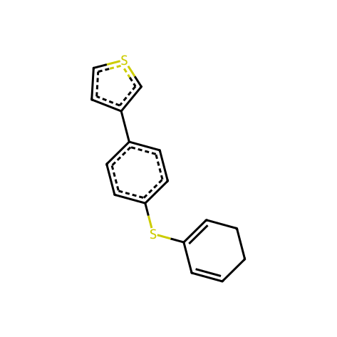 C1=CC(Sc2ccc(-c3ccsc3)cc2)=CCC1